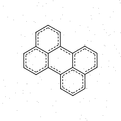 [c]1ccc2c3cccc4cccc(c5[c]ccc1c52)c43